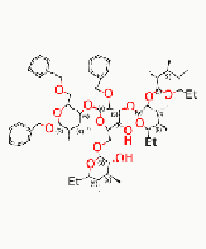 CCC1O[C@@H](OC2[C@H](O[C@@H]3C(OCc4ccccc4)[C@H](O[C@@H]4C(COCc5ccccc5)O[C@@H](OCc5ccccc5)C(C)[C@H]4C)OC(CO[C@H]4OC(CC)[C@@H](C)[C@H](C)C4O)[C@H]3O)OC(CC)[C@H](C)[C@H]2C)C(C)[C@@H](C)C1C